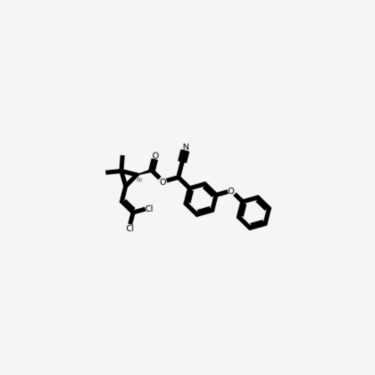 CC1(C)C(C=C(Cl)Cl)[C@@H]1C(=O)OC(C#N)c1cccc(Oc2ccccc2)c1